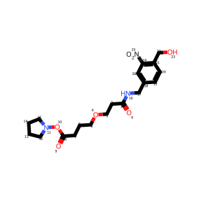 O=C(CCOCCCC(=O)ON1CCCC1)NCc1ccc(CO)c([N+](=O)[O-])c1